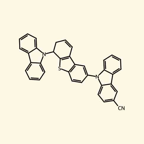 N#Cc1ccc2c(c1)c1ccccc1n2-c1ccc2sc3c(c2c1)C=CCC3n1c2ccccc2c2ccccc21